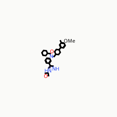 COc1ccc(C2CCC(CN(C(=O)C3CCCCC3)c3cccc(/C(C=N)=C/NC4COC4)c3)CC2)cc1C